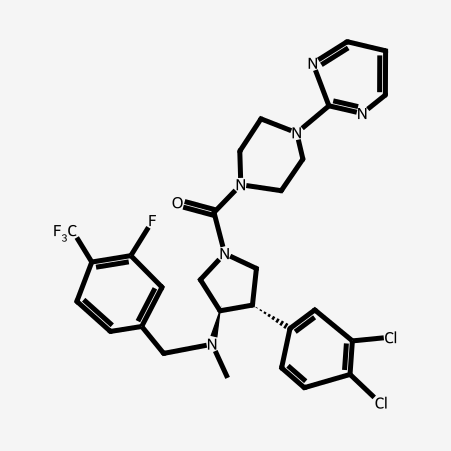 CN(Cc1ccc(C(F)(F)F)c(F)c1)[C@H]1CN(C(=O)N2CCN(c3ncccn3)CC2)C[C@@H]1c1ccc(Cl)c(Cl)c1